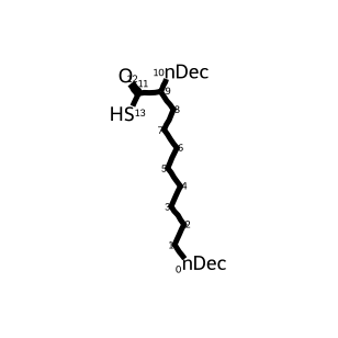 CCCCCCCCCCCCCCCCCCC(CCCCCCCCCC)C(=O)S